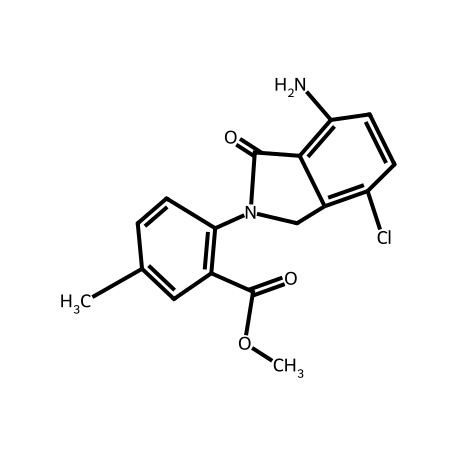 COC(=O)c1cc(C)ccc1N1Cc2c(Cl)ccc(N)c2C1=O